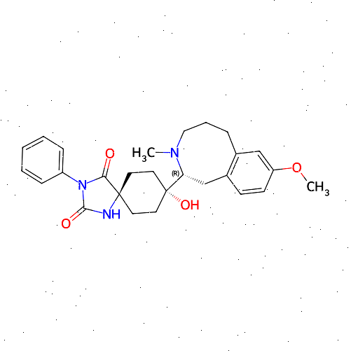 COc1ccc2c(c1)CCCN(C)[C@@H]([C@]1(O)CC[C@@]3(CC1)NC(=O)N(c1ccccc1)C3=O)C2